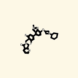 Cn1cc2c(-c3cc(F)c(CN4Cc5ncccc5C4=O)c(F)c3)ccc(OC3CN(C4CCCCC4)C3)c2n1